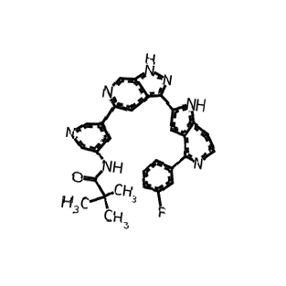 CC(C)(C)C(=O)Nc1cncc(-c2cc3c(-c4cc5c(-c6cccc(F)c6)nccc5[nH]4)n[nH]c3cn2)c1